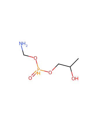 CC(O)CO[PH](=O)OCN